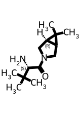 CC(C)(C)[C@H](N)C(=O)N1CC2[C@@H](C1)C2(C)C